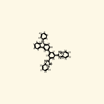 c1ccc(-n2c3ccccc3c3cc(-c4cc(-c5nc6ccccn6n5)cc(-c5nc6ccccn6n5)c4)ccc32)cc1